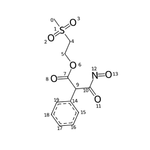 CS(=O)(=O)CCOC(=O)C(C(=O)N=O)c1ccccc1